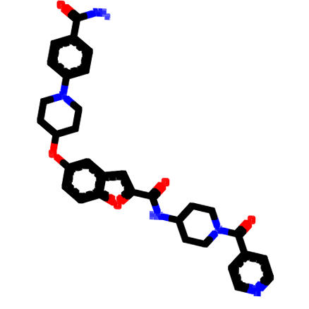 NC(=O)c1ccc(N2CCC(Oc3ccc4oc(C(=O)NC5CCN(C(=O)c6ccncc6)CC5)cc4c3)CC2)cc1